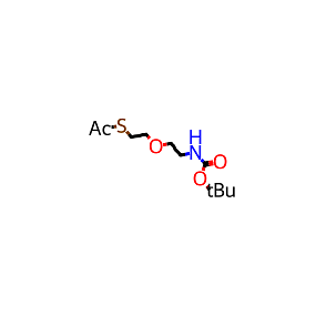 CC(=O)SCCOCCNC(=O)OC(C)(C)C